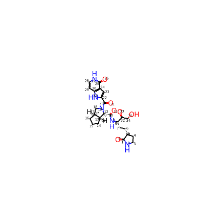 O=C1NCC[C@H]1CC[C@H](NC(=O)[C@@H]1[C@H]2CCC[C@H]2CN1C(=O)c1cc2c(=O)[nH]ccc2[nH]1)C(=O)CO